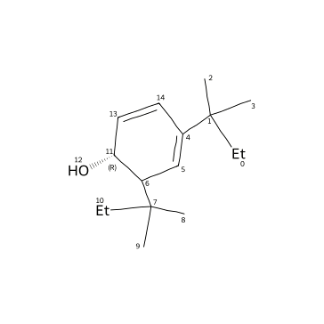 CCC(C)(C)C1=CC(C(C)(C)CC)[C@H](O)C=C1